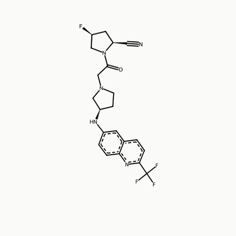 N#C[C@@H]1C[C@H](F)CN1C(=O)CN1CC[C@@H](Nc2ccc3nc(C(F)(F)F)ccc3c2)C1